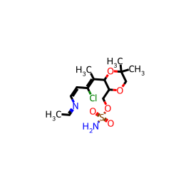 C\C=N/C=C\C(Cl)=C(/C)C1OC(C)(C)COC1COS(N)(=O)=O